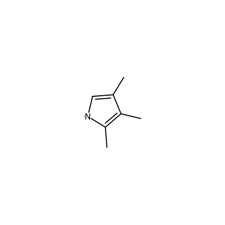 CC1=C[N]C(C)=C1C